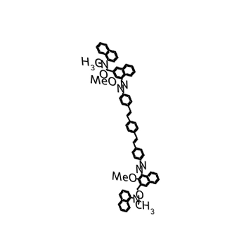 COc1c(CON(C)c2cccc3ccccc23)cc2ccccc2c1N=Nc1ccc(C=Cc2ccc(C=Cc3ccc(N=Nc4c(OC)c(C(=O)N(C)c5cccc6ccccc56)cc5ccccc45)cc3)cc2)cc1